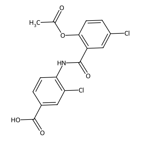 CC(=O)Oc1ccc(Cl)cc1C(=O)Nc1ccc(C(=O)O)cc1Cl